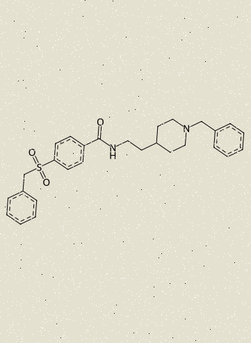 O=C(NCCC1CCN(Cc2ccccc2)CC1)c1ccc(S(=O)(=O)Cc2ccccc2)cc1